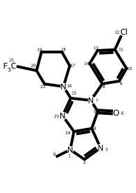 Cn1cnc2c(=O)n(-c3ccc(Cl)cc3)c(N3CCCC(C(F)(F)F)C3)nc21